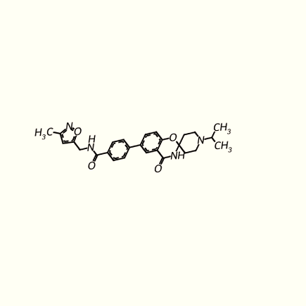 Cc1cc(CNC(=O)c2ccc(-c3ccc4c(c3)C(=O)NC3(CCN(C(C)C)CC3)O4)cc2)on1